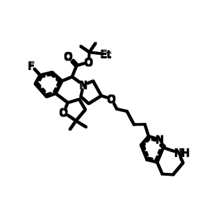 CCC(C)(C)OC(=O)C(c1cc(F)ccc1C1CCC(C)(C)O1)N1CCC(OCCCCc2ccc3c(n2)NCCC3)C1